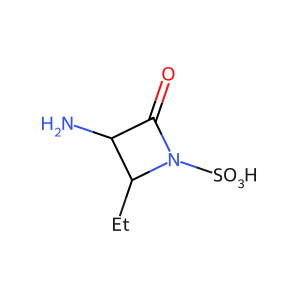 CCC1C(N)C(=O)N1S(=O)(=O)O